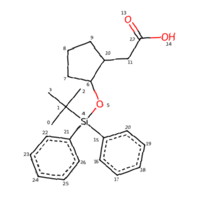 CC(C)(C)[Si](OC1CCCC1CC(=O)O)(c1ccccc1)c1ccccc1